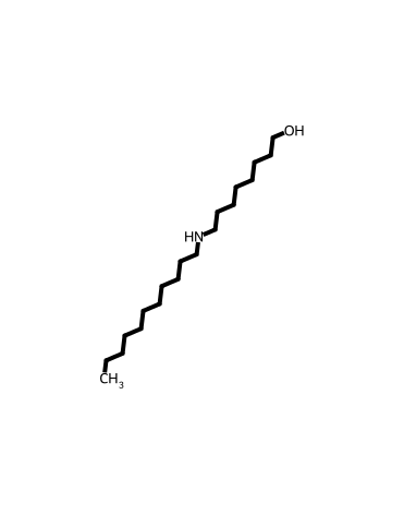 CCCCCCCCCCCNCCCCCCCCO